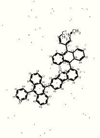 C=N/C=C(\C=C/C)C1=c2ccccc2=C(c2cccc3c2oc2cc(-c4c5ccccc5c(-c5cccnc5)c5ccccc45)ccc23)C2C=CC=CC12